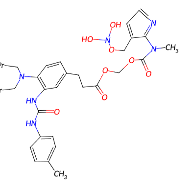 Cc1ccc(NC(=O)Nc2cc(CCC(=O)OCOC(=O)N(C)c3ncccc3CON(O)O)ccc2N(CC(C)C)CC(C)C)cc1